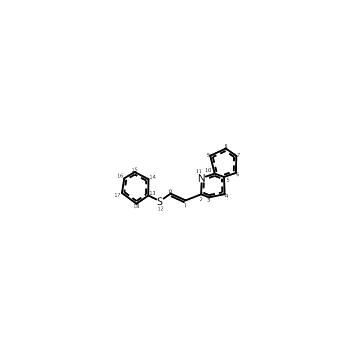 C(=Cc1ccc2ccccc2n1)Sc1ccccc1